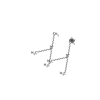 CCCCCCCCCCCC[PH+](CCCCCCCCCCCC)CCCCCCCCCCCC.CCCCCCCCCCCC[PH+](CCCCCCCCCCCC)CCCCCCCCCCCC.[O]=[Mo](=[O])([O-])[O-]